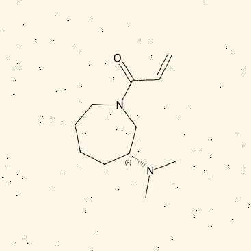 C=CC(=O)N1CCCC[C@@H](N(C)C)C1